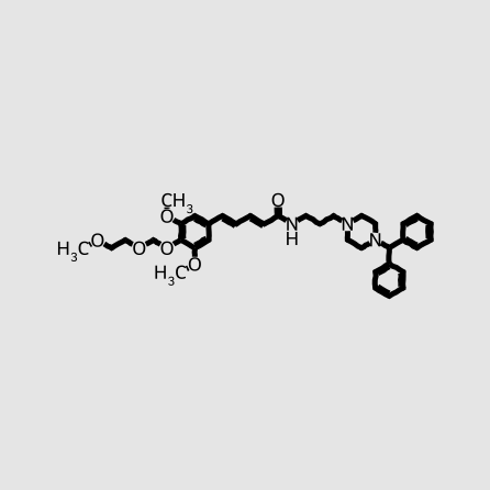 COCCOCOc1c(OC)cc(C=CC=CC(=O)NCCCN2CCN(C(c3ccccc3)c3ccccc3)CC2)cc1OC